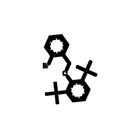 CC(C)(C)c1cccc(C(C)(C)C)c1OCc1ccccc1Br